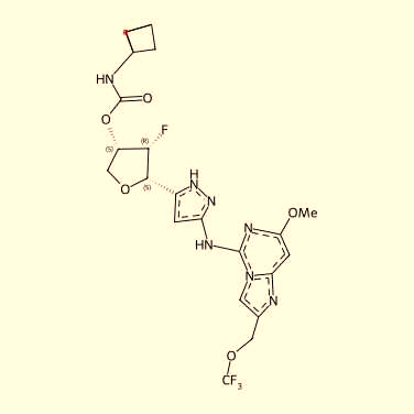 COc1cc2nc(COC(F)(F)F)cn2c(Nc2cc([C@@H]3OC[C@H](OC(=O)NC45CC(C4)C5)[C@@H]3F)[nH]n2)n1